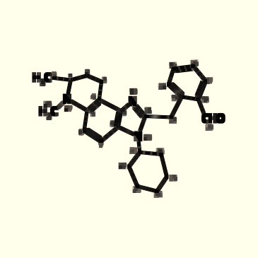 CC1CCc2c(ccc3c2nc(Cc2ccccc2C=O)n3C2CCCCC2)N1C